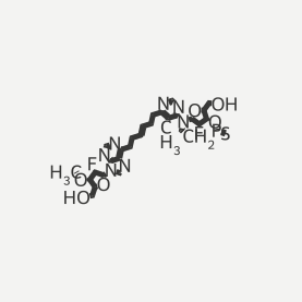 C=CN(c1ncnc(CC/C=C/CCc2ncnc3c2ncn3C2OC(CO)[C@@H](OC)[C@H]2F)c1C)C1OC(CO)[C@@H](OP=S)[C@H]1F